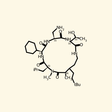 CC(C)C[C@H]1C(=O)N[C@@H](C2CCCCC2)C(=O)N[C@@H](CN)C(=O)N[C@@H]([C@H](C)O)C(=O)NCCC(CCC(C)(C)C)[C@@H](C)C(=O)N1C